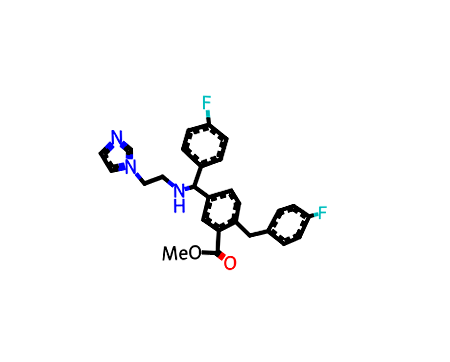 COC(=O)c1cc(C(NCCn2ccnc2)c2ccc(F)cc2)ccc1Cc1ccc(F)cc1